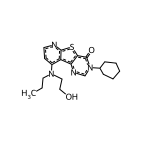 CCCN(CCO)c1ccnc2sc3c(=O)n(C4CCCCC4)cnc3c12